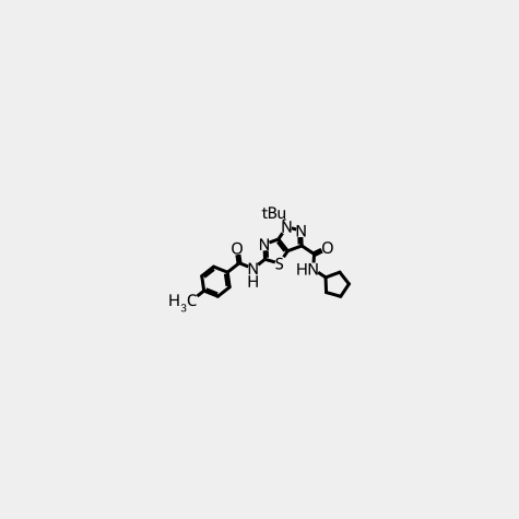 Cc1ccc(C(=O)Nc2nc3c(s2)c(C(=O)NC2CCCC2)nn3C(C)(C)C)cc1